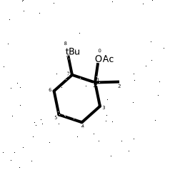 CC(=O)OC1(C)CCCCC1C(C)(C)C